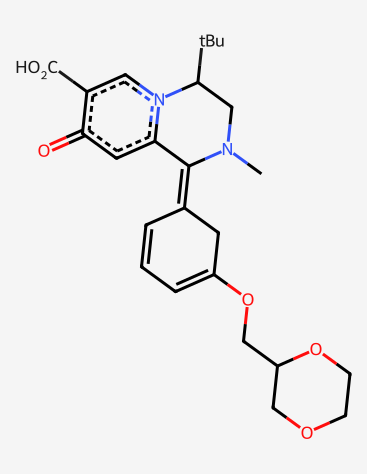 CN1CC(C(C)(C)C)n2cc(C(=O)O)c(=O)cc2/C1=C1\C=CC=C(OCC2COCCO2)C1